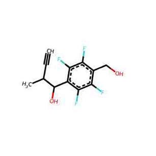 C#CC(C)C(O)c1c(F)c(F)c(CO)c(F)c1F